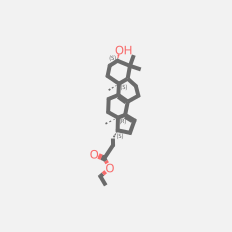 CCOC(=O)CC[C@H]1CC=C2C3=C(CC[C@@]21C)[C@@]1(C)CC[C@H](O)C(C)(C)C1CC3